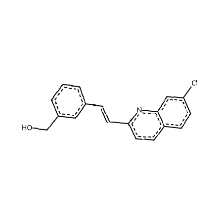 OCc1cccc(C=Cc2ccc3ccc(Cl)cc3n2)c1